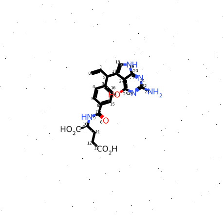 C=CC(c1ccc(C(=O)N[C@@H](CCC(=O)O)C(=O)O)cc1)c1c[nH]c2nc(N)nc(O)c12